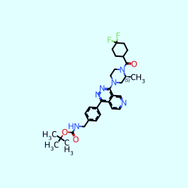 C[C@H]1CN(c2nnc(-c3ccc(CNC(=O)OC(C)(C)C)cc3)c3ccncc23)CCN1C(=O)C1CCC(F)(F)CC1